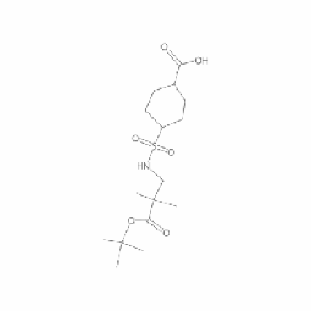 CC(C)(C)OC(=O)C(C)(C)CNS(=O)(=O)C1CCC(C(=O)O)CC1